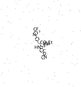 CCOC(=O)C(Cc1ccc(-c2ccc(C(F)(F)F)cn2)cc1)c1[nH]c2ccc(Oc3ccccn3)c(C)c2c1SC(C)(C)C